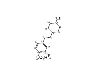 CCC1CCC(CCc2ccc(C(=O)O)c(F)c2)CC1